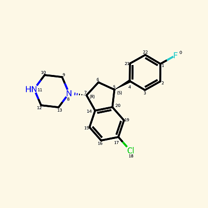 Fc1ccc([C@@H]2C[C@@H](N3CCNCC3)c3ccc(Cl)cc32)cc1